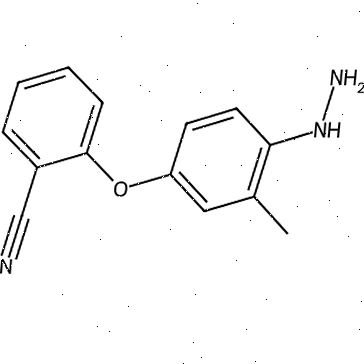 Cc1cc(Oc2ccccc2C#N)ccc1NN